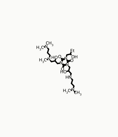 CCC(O)Cn1c(=O)n(CC(O)CNCCCN(C)C)c(=O)n(CC(O)CN(C)CCCN(C)C)c1=O